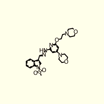 CS(=O)(=O)n1cc(/C=N/Nc2cc(N3CCOCC3)cc(OCCN3CCOCC3)n2)c2ccccc21